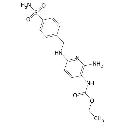 CCOC(=O)Nc1ccc(NCc2ccc(S(N)(=O)=O)cc2)nc1N